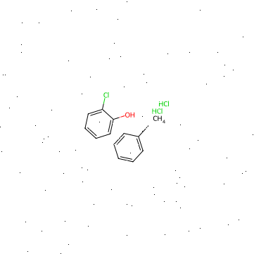 C.Cc1ccccc1.Cl.Cl.Oc1ccccc1Cl